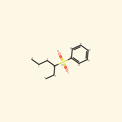 CCCC(CC)S(=O)(=O)c1[c]cccc1